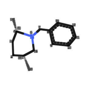 C[C@@H]1CC[C@H](C)N(Cc2ccccc2)C1